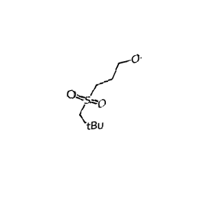 CC(C)(C)CS(=O)(=O)CCC[O]